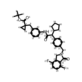 CC(C)(C)OC(=O)C1(Cc2cccc(NC(=O)C(c3ccc(CN4Cc5c(F)ccc(F)c5C4=O)cc3)C3CCCC3)c2)CC1